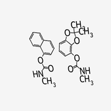 CNC(=O)Oc1cccc2c1OC(C)(C)O2.CNC(=O)Oc1cccc2ccccc12